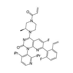 C=CC(=O)N1CCN(c2nc(=O)n(-c3c(C(C)C)ccnc3C(C)C)c3nc(-c4c(F)cccc4C=C)c(F)cc23)[C@@H](C)C1